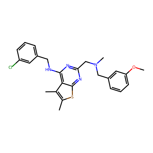 COc1cccc(CN(C)Cc2nc(NCc3cccc(Cl)c3)c3c(C)c(C)sc3n2)c1